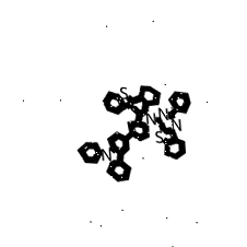 C1=Cc2c(sc3c(-n4c5ccc(-c6ccc7c(c6)c6ccccc6n7-c6ccccc6)cc5c5c6c(sc7ccccc76)c6c(c54)C=CCC6)nc(-c4ccccc4)nc23)CC1